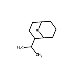 CC(C)C1CCC2BC1CCC2